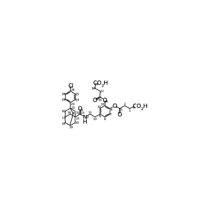 O=C(O)CCC(=O)Oc1ccc(CCNC(=O)C23CC4CC(C2)CC(c2ccc(Cl)cc2)(C4)C3)cc1OC(=O)CCC(=O)O